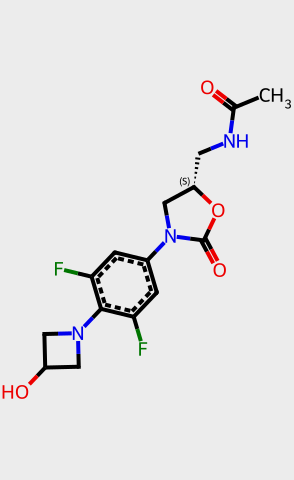 CC(=O)NC[C@H]1CN(c2cc(F)c(N3CC(O)C3)c(F)c2)C(=O)O1